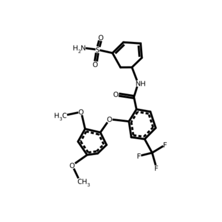 COc1ccc(Oc2cc(C(F)(F)F)ccc2C(=O)NC2C=CC=C(S(N)(=O)=O)C2)c(OC)c1